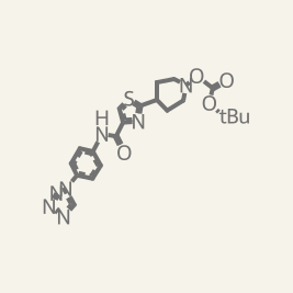 CC(C)(C)OC(=O)ON1CCC(c2nc(C(=O)Nc3ccc(-n4cnnn4)cc3)cs2)CC1